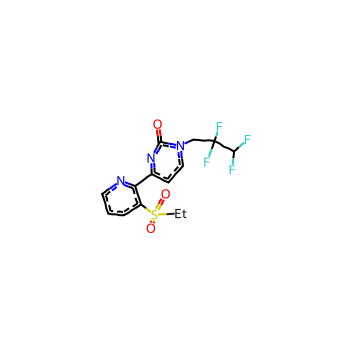 CCS(=O)(=O)c1cccnc1-c1ccn(CC(F)(F)C(F)F)c(=O)n1